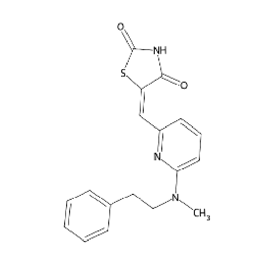 CN(CCc1ccccc1)c1cccc(/C=C2/SC(=O)NC2=O)n1